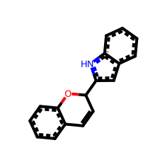 C1=CC(c2cc3ccccc3[nH]2)Oc2ccccc21